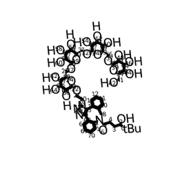 CC(C)(C)C(O)CCC(=O)N1Cc2ccccc2-c2c(nnn2CCO[C@@H]2O[C@H](CO[C@@H]3O[C@H](CO[C@@H]4O[C@H](CO[C@@H]5O[C@H](CO)[C@@H](O)[C@H](O)[C@H]5O)[C@@H](O)[C@H](O)[C@H]4O)[C@@H](O)[C@H](O)[C@H]3O)[C@@H](O)[C@H](O)[C@H]2O)-c2ccccc21